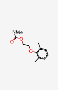 CNC(=O)OCCOc1c(C)cccc1C